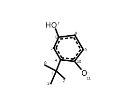 CC(C)(C)c1cc(O)ccc1[O]